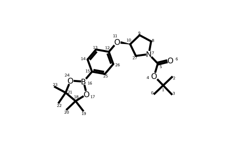 CC(C)(C)OC(=O)N1CC[C@H](Oc2ccc(B3OC(C)(C)C(C)(C)O3)cc2)C1